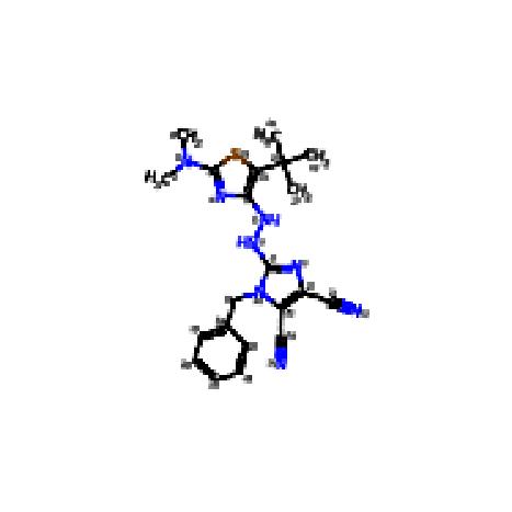 CN(C)c1nc(NNc2nc(C#N)c(C#N)n2Cc2ccccc2)c(C(C)(C)C)s1